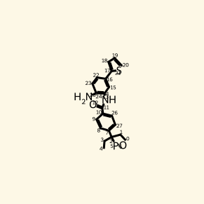 CCC(CC)(P=O)c1ccc(C(=O)Nc2cc(-c3cccs3)ccc2N)cc1